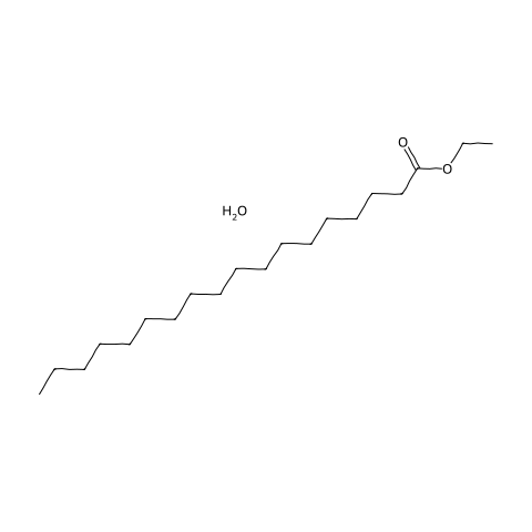 CCCCCCCCCCCCCCCCCC(=O)OCC.O